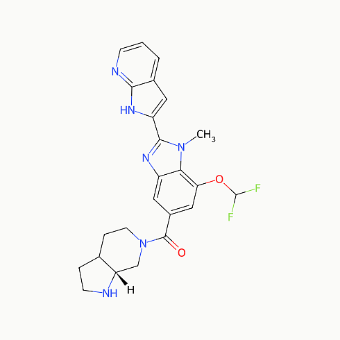 Cn1c(-c2cc3cccnc3[nH]2)nc2cc(C(=O)N3CCC4CCN[C@H]4C3)cc(OC(F)F)c21